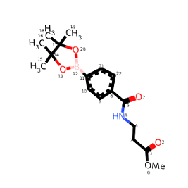 COC(=O)CCNC(=O)c1ccc(B2OC(C)(C)C(C)(C)O2)cc1